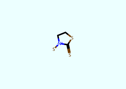 S=C1SCC[N+]1[S-]